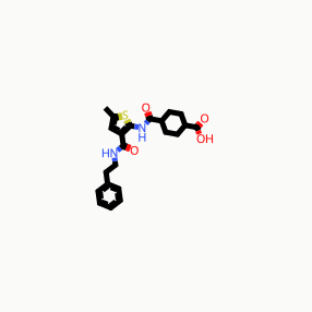 Cc1cc(C(=O)NCCc2ccccc2)c(NC(=O)C2CCC(C(=O)O)CC2)s1